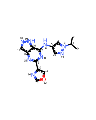 CC(C)n1cc(Nc2nc(-c3cocn3)nc3cn[nH]c23)cn1